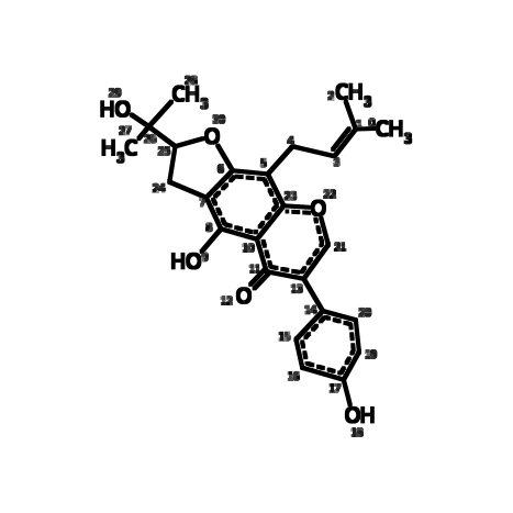 CC(C)=CCc1c2c(c(O)c3c(=O)c(-c4ccc(O)cc4)coc13)CC(C(C)(C)O)O2